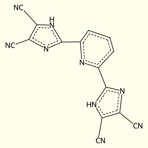 N#Cc1nc(-c2cccc(-c3nc(C#N)c(C#N)[nH]3)n2)[nH]c1C#N